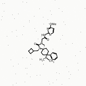 COc1ccnc(NC(=O)CN2C[C@]3(CC[C@](c4ccccc4)(N(C)C)CC3)N(CC3CCC3)C2=O)n1